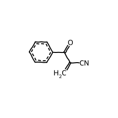 C=C(C#N)C(=O)c1ccccc1